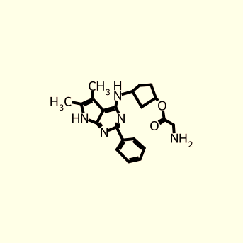 Cc1[nH]c2nc(-c3ccccc3)nc(NC3CCC(OC(=O)CN)C3)c2c1C